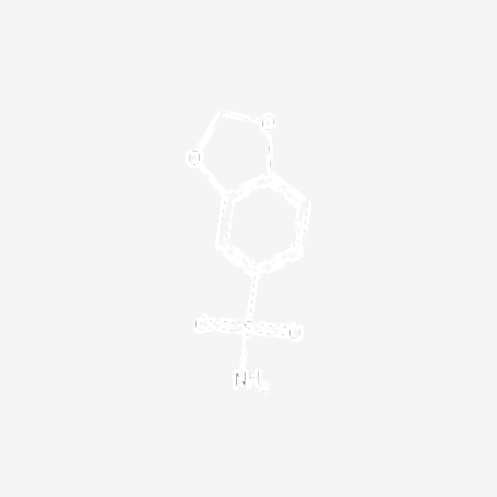 NS(=O)(=O)c1ccc2c(c1)OCO2